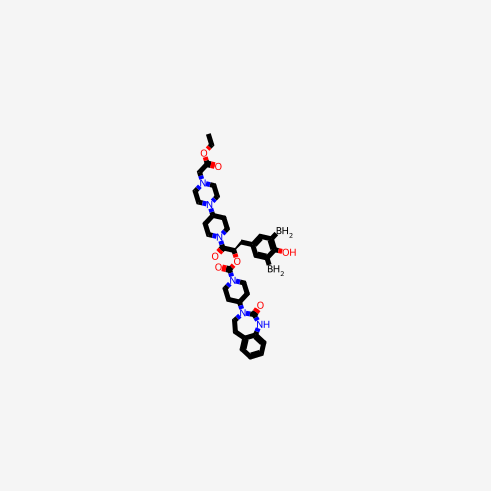 Bc1cc(C[C@@H](OC(=O)N2CCC(N3CCc4ccccc4NC3=O)CC2)C(=O)N2CCC(N3CCN(CC(=O)OCC)CC3)CC2)cc(B)c1O